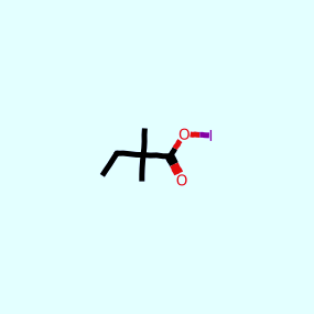 CCC(C)(C)C(=O)OI